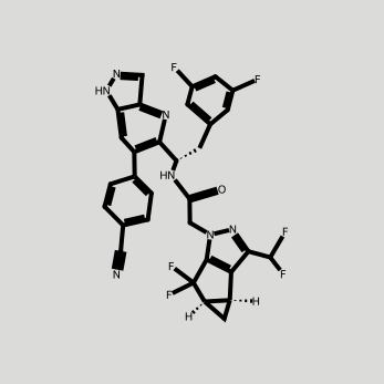 N#Cc1ccc(-c2cc3[nH]ncc3nc2[C@H](Cc2cc(F)cc(F)c2)NC(=O)Cn2nc(C(F)F)c3c2C(F)(F)[C@@H]2C[C@H]32)cc1